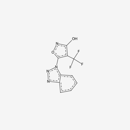 Oc1noc(-n2nnc3ccccc32)c1C(F)(F)F